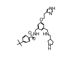 CC(C)(C)c1ccc(S(=O)(=O)NCc2cc(CNCC3CCNC3)cc(OCCc3c[nH]cn3)c2)cc1